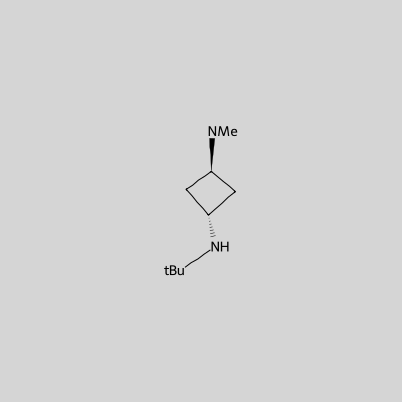 CN[C@H]1C[C@H](NC(C)(C)C)C1